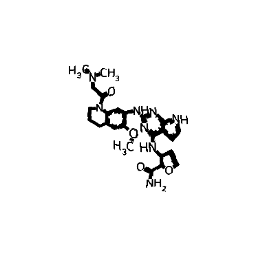 COc1cc2c(cc1Nc1nc(NC3C=COC3C(N)=O)c3cc[nH]c3n1)N(C(=O)CN(C)C)CCC2